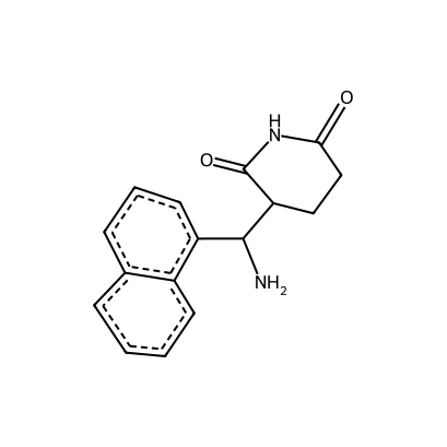 NC(c1cccc2ccccc12)C1CCC(=O)NC1=O